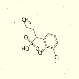 CCCC(c1cccc(Cl)c1Cl)S(=O)(=O)O